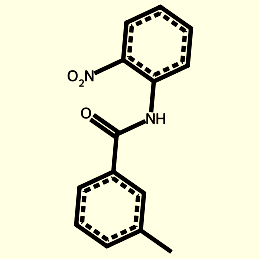 Cc1cccc(C(=O)Nc2ccccc2[N+](=O)[O-])c1